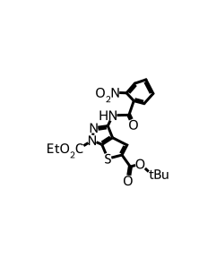 CCOC(=O)n1nc(NC(=O)c2ccccc2[N+](=O)[O-])c2cc(C(=O)OC(C)(C)C)sc21